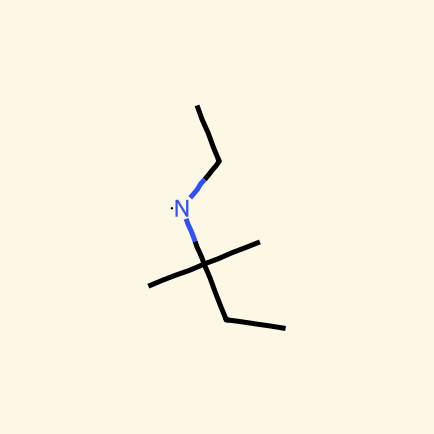 CC[N]C(C)(C)CC